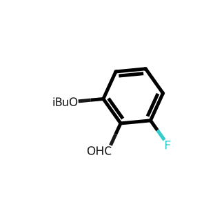 CC(C)COc1cccc(F)c1C=O